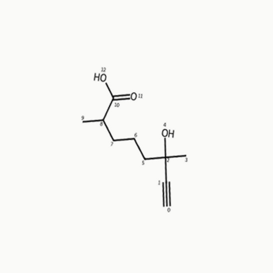 C#CC(C)(O)CCCC(C)C(=O)O